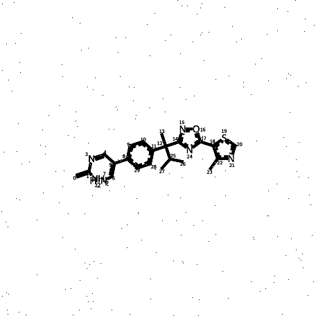 C=C(N)/N=C\C(=C/N)c1ccc(C(C)(c2noc(-c3scnc3C)n2)C(C)C)cc1